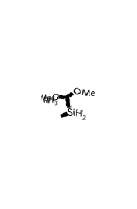 COC(OC)[SiH2]C.N